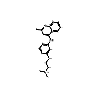 Cc1cc(Nc2cccc(CCCN(C)C)c2)c2ccccc2n1